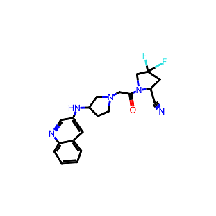 N#CC1CC(F)(F)CN1C(=O)CN1CCC(Nc2cnc3ccccc3c2)C1